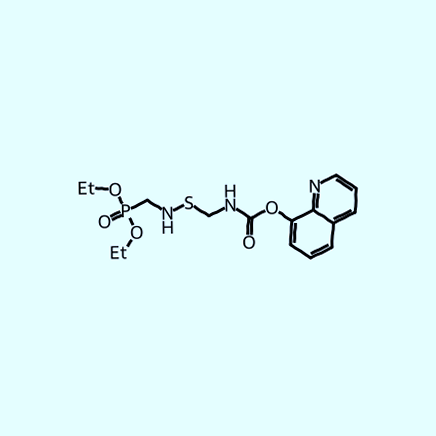 CCOP(=O)(CNSCNC(=O)Oc1cccc2cccnc12)OCC